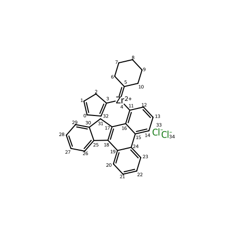 C1=CC[C]([Zr+2](=[C]2CCCCC2)[c]2cccc3c2c2c(c4ccccc43)-c3ccccc3C2)=C1.[Cl-].[Cl-]